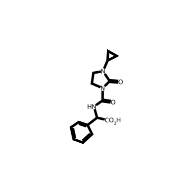 O=C(O)C(NC(=O)N1CCN(C2CC2)C1=O)c1ccccc1